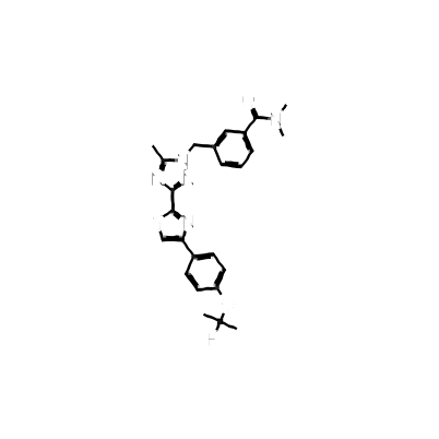 Cc1nc(-c2nc(-c3ccc(OC(C)(C)F)cc3)cs2)nn1Cc1cccc(C(=O)N(C)C)c1